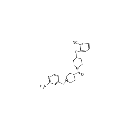 N#Cc1ccccc1OC1CCN(C(=O)C2CCN(Cc3ccnc(N)c3)CC2)CC1